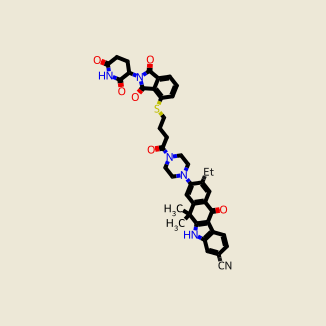 CCc1cc2c(cc1N1CCN(C(=O)CCCSc3cccc4c3C(=O)N(C3CCC(=O)NC3=O)C4=O)CC1)C(C)(C)c1[nH]c3cc(C#N)ccc3c1C2=O